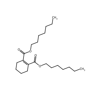 CCCCCCCOC(=O)C1=C(C(=O)OCCCCCCC)CCCC1